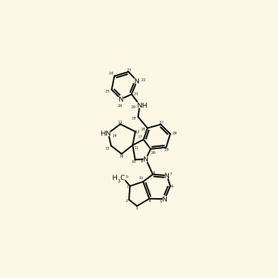 CC1CCc2ncnc(N3CC4(CCNCC4)c4c(CNc5ncccn5)cccc43)c21